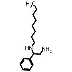 CCCCCCCCNC(CN)c1ccccc1